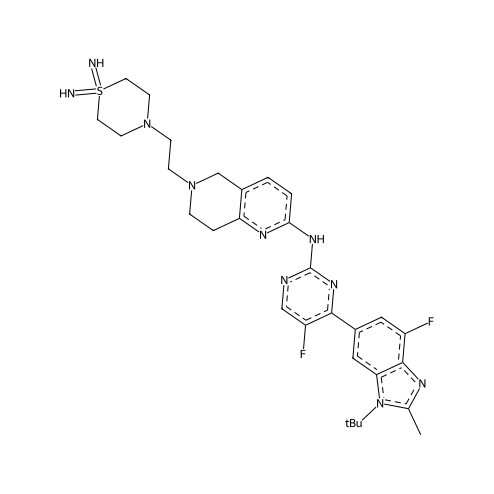 Cc1nc2c(F)cc(-c3nc(Nc4ccc5c(n4)CCN(CCN4CCS(=N)(=N)CC4)C5)ncc3F)cc2n1C(C)(C)C